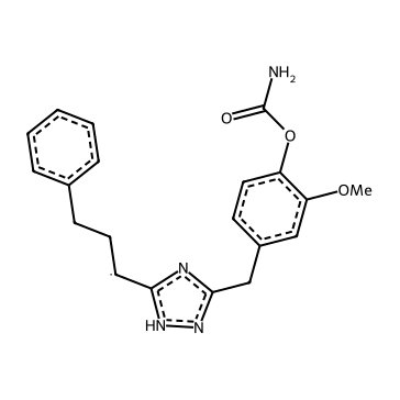 COc1cc(Cc2n[nH]c([CH]CCc3ccccc3)n2)ccc1OC(N)=O